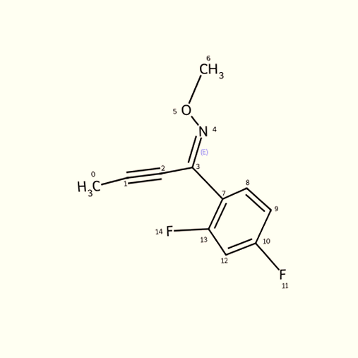 CC#C/C(=N\OC)c1ccc(F)cc1F